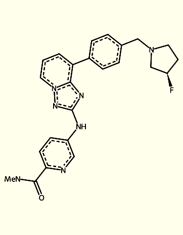 CNC(=O)c1ccc(Nc2nc3c(-c4ccc(CN5CC[C@@H](F)C5)cc4)cccn3n2)cn1